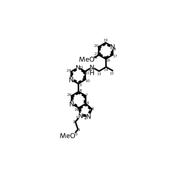 COCCn1ncc2cc(-c3cc(NCC(C)c4cnccc4OC)ncn3)cnc21